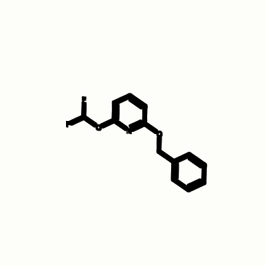 FC(F)Oc1cccc(OCc2ccccc2)n1